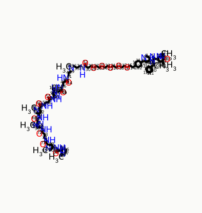 Cc1cc(-c2nc3cnc(C4CCC(CCOCCOCCOCCOCCOCCC(=O)NCCCN(C)CCCNC(=O)CCNC(=O)c5nc(NC(=O)CCNC(=O)c6cc(NC(=O)c7nc(NC(=O)CCNC(=O)c8cc(NC(=O)c9nccn9C)cn8C)cn7C)cn6C)cn5C)CC4)cc3n2C(C)c2ccccc2)nn(C)c1=O